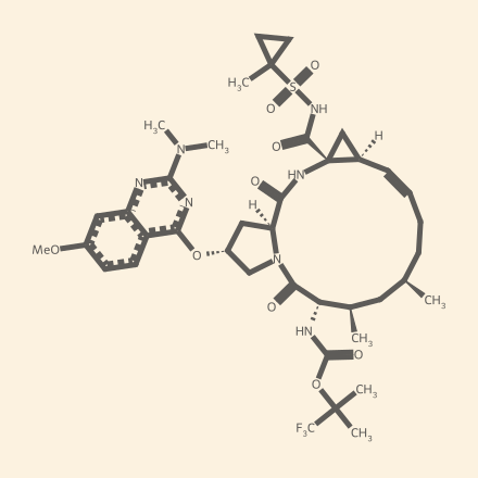 COc1ccc2c(O[C@@H]3C[C@H]4C(=O)N[C@]5(C(=O)NS(=O)(=O)C6(C)CC6)C[C@H]5/C=C\CC[C@@H](C)C[C@@H](C)[C@H](NC(=O)OC(C)(C)C(F)(F)F)C(=O)N4C3)nc(N(C)C)nc2c1